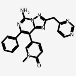 Cn1cc(-c2c(-c3ccccc3)nc(N)n3nc(Cc4ccncn4)nc23)ccc1=O